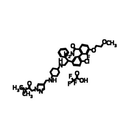 COCCOc1ccc(C(N)=O)c(-c2cc(C(CNC3CCC(NCc4cnn(CC(=O)N(C)C)c4)CC3)c3ccccc3)ccc2Cl)c1F.O=C(O)C(F)(F)F